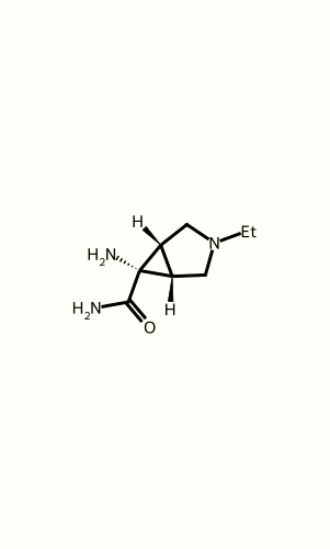 CCN1C[C@@H]2[C@H](C1)[C@@]2(N)C(N)=O